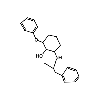 CC(Cc1ccccc1)NC1CCCC(Oc2ccccc2)C1O